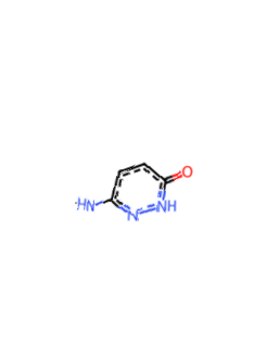 [NH]c1ccc(=O)[nH]n1